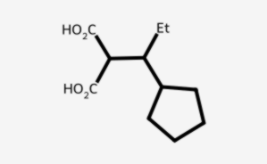 CCC(C1CCCC1)C(C(=O)O)C(=O)O